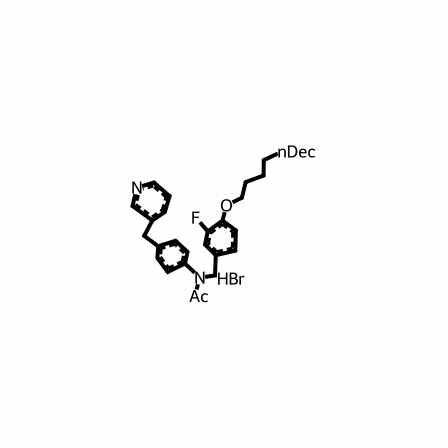 Br.CCCCCCCCCCCCCCOc1ccc(CN(C(C)=O)c2ccc(Cc3cccnc3)cc2)cc1F